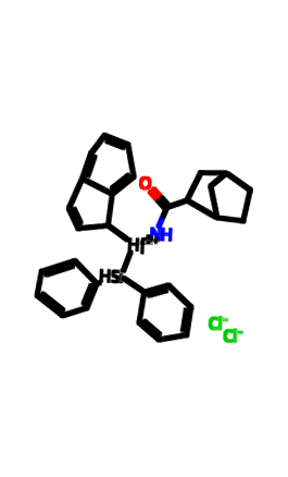 O=C([NH][Hf+2]([CH]1C=Cc2ccccc21)[SiH](c1ccccc1)c1ccccc1)C1CC2CCC1C2.[Cl-].[Cl-]